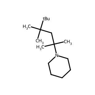 CC(C)(CC(C)(C)C(C)(C)C)N1CCCCC1